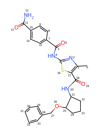 Cc1nc(NC(=O)c2ccc(C(N)=O)cc2)sc1C(=O)NC1CCCC1OCc1ccccc1